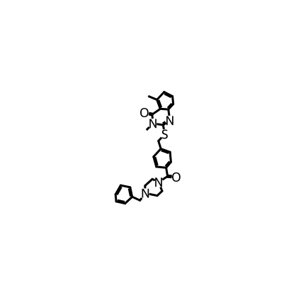 Cc1cccc2nc(SCc3ccc(C(=O)N4CCN(Cc5ccccc5)CC4)cc3)n(C)c(=O)c12